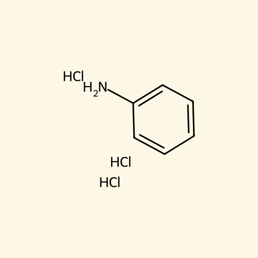 Cl.Cl.Cl.Nc1ccccc1